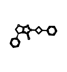 O=c1n(C2CC(c3ccccc3)C2)nc2n1[C@H](c1ccccc1)CO2